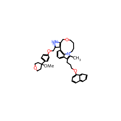 COC1(c2ccc(OCc3n[nH]c4c3-c3cccc5c(CCCOc6cccc7ccccc67)c(C)n(c35)CCCCOC4)cc2)CCOCC1